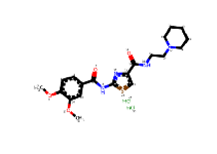 COc1ccc(C(=O)Nc2nc(C(=O)NCCN3CCCCC3)cs2)cc1OC.Cl.Cl